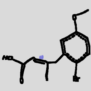 COc1ccc(Br)c(/C(C)=C/C(=O)O)c1